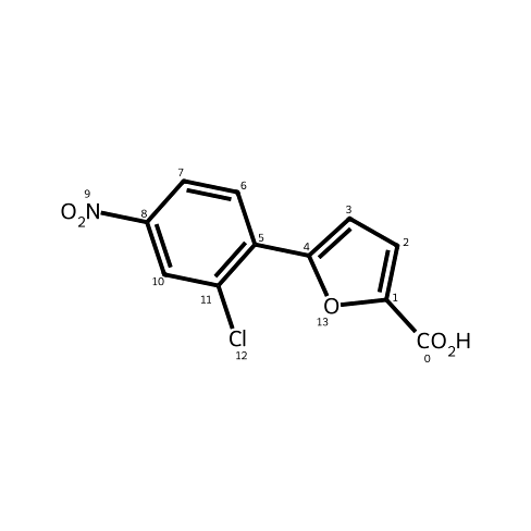 O=C(O)c1ccc(-c2ccc([N+](=O)[O-])cc2Cl)o1